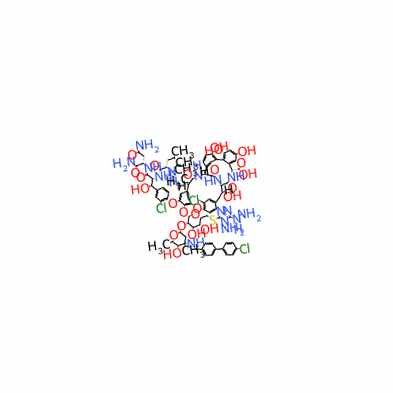 CN[C@@H](CC(C)C)C(=O)N[C@@H](C(=O)N[C@@H](CC(N)=O)C(N)=O)[C@H](O)c1ccc(Oc2cc3cc(c2OC2OC(CSc4nnc(NN)n4N)C(O)C(O)C2OC2CC(C)(NCc4ccc(-c5ccc(Cl)cc5)cc4)C(O)C(C)O2)Oc2ccc(cc2Cl)[C@@H](O)C2NC(=O)[C@H](NC(=O)[C@@H]3C)c3ccc(O)c(c3)-c3c(O)cc(O)cc3[C@H](C(=O)O)NC2=O)c(Cl)c1